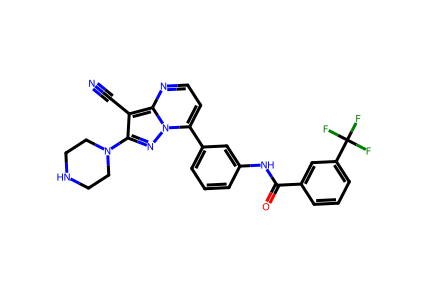 N#Cc1c(N2CCNCC2)nn2c(-c3cccc(NC(=O)c4cccc(C(F)(F)F)c4)c3)ccnc12